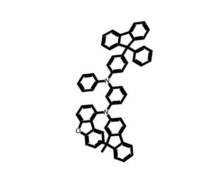 CC1(C)c2ccccc2-c2ccc(N(c3cccc(N(c4ccccc4)c4ccc(C5(c6ccccc6)c6ccccc6-c6ccccc65)cc4)c3)c3cccc4oc5ccccc5c34)cc21